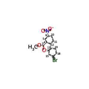 COC(=O)c1cc([N+](=O)[O-])ccc1-c1ccc(Br)cc1